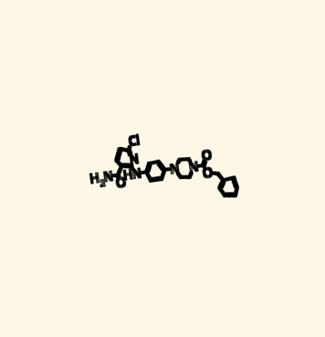 NC(=O)c1ccc(Cl)nc1Nc1ccc(N2CCN(C(=O)OCc3ccccc3)CC2)cc1